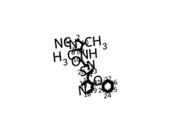 CC1CN(C#N)C(C)[C@@H]1NC(=O)c1ncc(-c2cnccc2Oc2ccccc2)s1